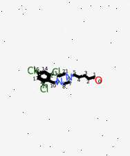 O=CCCCCN1CCN(Cc2c(Cl)cc(Cl)cc2Cl)CC1